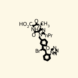 CCCc1nc2c(n1Cc1ccc3oc(-c4ccccc4-n4cnnn4)c(Br)c3c1)C(=O)NC(C(=O)O)C(=O)N2C